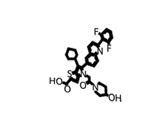 O=C(O)c1cc2c(s1)c(C1CCCCC1)c(-c1ccc3nc(-c4c(F)cccc4F)ccc3c1)n2CC(=O)N1CCC(O)CC1